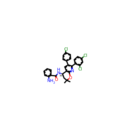 CC1(C)C[C@@H](NC(=O)c2ccccc2N)c2cc(-c3ccc(Cl)cc3)c(-c3ccc(Cl)cc3Cl)nc2O1